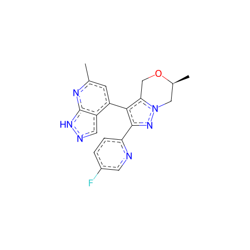 Cc1cc(-c2c(-c3ccc(F)cn3)nn3c2CO[C@@H](C)C3)c2cn[nH]c2n1